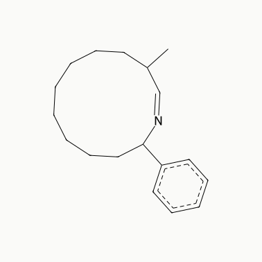 CC1C=NC(c2ccccc2)CCCCCCCC1